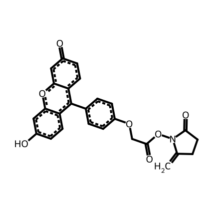 C=C1CCC(=O)N1OC(=O)COc1ccc(-c2c3ccc(=O)cc-3oc3cc(O)ccc23)cc1